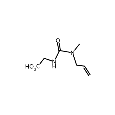 C=CCN(C)C(=O)NCC(=O)O